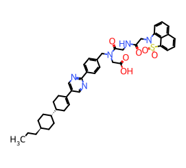 CCC[C@H]1CC[C@H](C2CC=C(c3cnc(-c4ccc(CN(CC(=O)O)C(=O)CNC(=O)CN5c6cccc7cccc(c67)S5(=O)=O)cc4)nc3)CC2)CC1